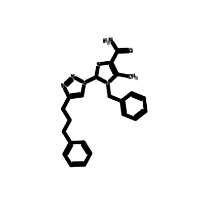 CC1=C(C(N)=O)SC(n2cc(CCCc3ccccc3)nn2)N1Cc1ccccc1